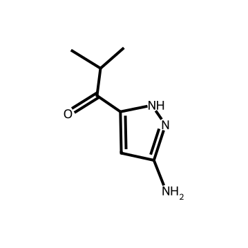 CC(C)C(=O)c1cc(N)n[nH]1